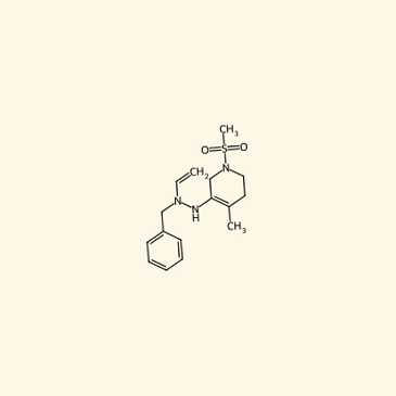 C=CN(Cc1ccccc1)NC1=C(C)CCN(S(C)(=O)=O)C1